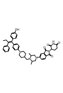 CCC(=C(c1ccc(O)cc1)c1ccc(N2CCC(CN3C(C)CN(c4ccc5c(c4)C(=O)N(C4CCC(=O)NC4=O)C5=O)CC3C)CC2)cc1)c1ccccc1